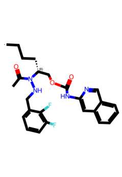 [CH2]CCC[C@H](COC(=O)Nc1cc2ccccc2cn1)N(NCc1cccc(F)c1F)C(C)=O